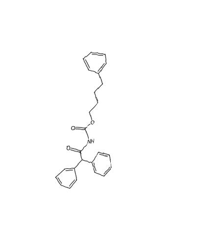 O=C(NC(=O)C(c1ccccc1)c1ccccc1)OCCCCc1ccccc1